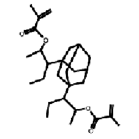 C=C(C)C(=O)OC(C)C(CC)C12CC3CC(C1)CC(C(CC)C(C)OC(=O)C(=C)C)(C3)C2